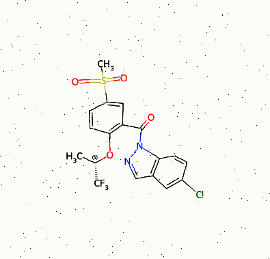 C[C@H](Oc1ccc(S(C)(=O)=O)cc1C(=O)n1ncc2cc(Cl)ccc21)C(F)(F)F